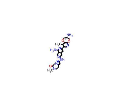 Cc1c(-c2cc3cc(Nc4cc5n(n4)CC(=O)N(C)CC5)ncc3c(N)n2)cnc2c1OC[C@H](N)CO2